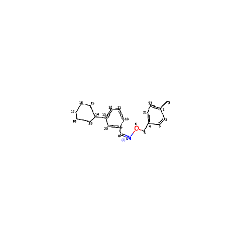 Cc1ccc(CO/N=[C]\c2cccc(C3CCCCC3)c2)cc1